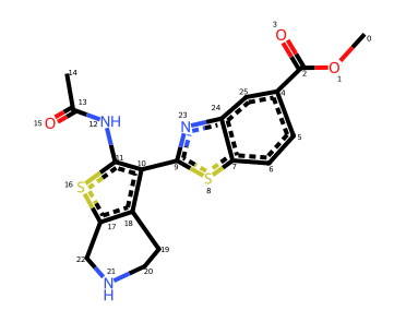 COC(=O)c1ccc2sc(-c3c(NC(C)=O)sc4c3CCNC4)nc2c1